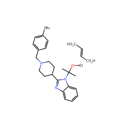 CCOC(C)(C)n1c(C2CCN(Cc3ccc(C(C)(C)C)cc3)CC2)nc2ccccc21.O=C(O)C=CC(=O)O